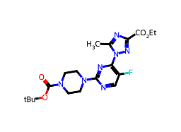 CCOC(=O)c1nc(C)n(-c2nc(N3CCN(C(=O)OC(C)(C)C)CC3)ncc2F)n1